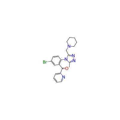 Cc1nnc(CN2CCCCC2)n1-c1ccc(Br)cc1C(=O)c1ccccn1